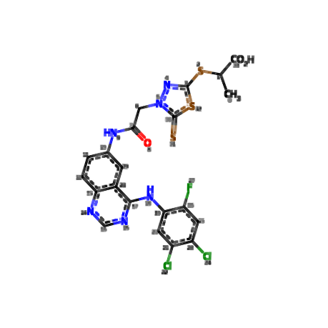 CC(Sc1nn(CC(=O)Nc2ccc3ncnc(Nc4cc(Cl)c(Cl)cc4F)c3c2)c(=S)s1)C(=O)O